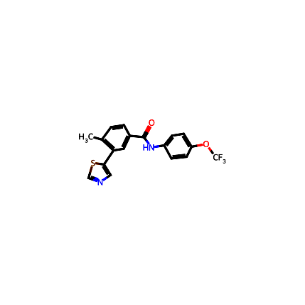 Cc1ccc(C(=O)Nc2ccc(OC(F)(F)F)cc2)cc1-c1cncs1